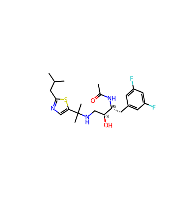 CC(=O)N[C@H](Cc1cc(F)cc(F)c1)[C@@H](O)CNC(C)(C)c1cnc(CC(C)C)s1